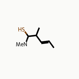 CC=CC(C)C(S)NC